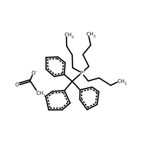 CC(=O)[O-].CCCC[P+](CCCC)(CCCC)C(c1ccccc1)(c1ccccc1)c1ccccc1